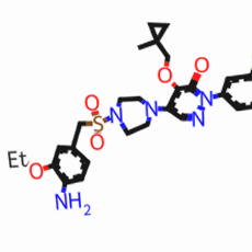 CCOc1cc(CS(=O)(=O)N2CCN(c3cnn(-c4cccc(Cl)c4)c(=O)c3OCC3(C)CC3)CC2)ccc1N